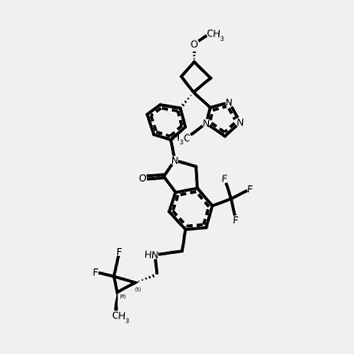 CO[C@H]1C[C@](c2cccc(N3Cc4c(cc(CNC[C@@H]5[C@@H](C)C5(F)F)cc4C(F)(F)F)C3=O)c2)(c2nncn2C)C1